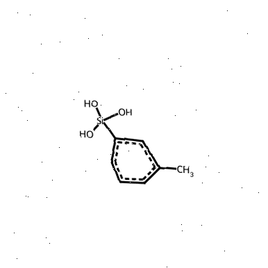 Cc1cccc([Si](O)(O)O)c1